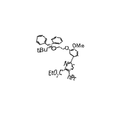 CCCc1sc(-c2ccc(OC)c(OCCO[Si](c3ccccc3)(c3ccccc3)C(C)(C)C)c2)nc1C(=O)OCC